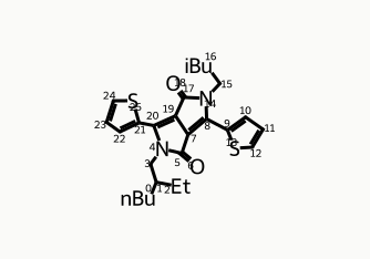 CCCCC(CC)CN1C(=O)C2=C(c3cccs3)N(CC(C)CC)C(=O)C2=C1c1cccs1